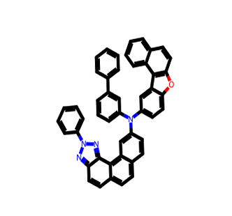 c1ccc(-c2cccc(N(c3ccc4oc5ccc6ccccc6c5c4c3)c3ccc4ccc5ccc6nn(-c7ccccc7)nc6c5c4c3)c2)cc1